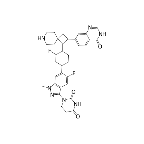 Cn1nc(N2CCC(=O)NC2=O)c2cc(F)c(C3CCC(C4C(c5ccc6c(=O)[nH]cnc6c5)CC45CCNCC5)C(F)C3)cc21